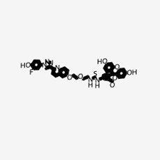 O=C1OC2(c3ccc(O)cc3Oc3cc(O)ccc32)c2ccc(NC(=S)NCCOCCOc3ccc4nc(-c5cn(-c6ccc(O)c(F)c6)nn5)ccc4c3)cc21